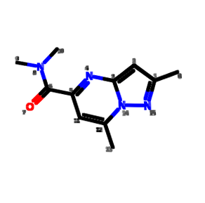 Cc1cc2nc(C(=O)N(C)C)cc(C)n2n1